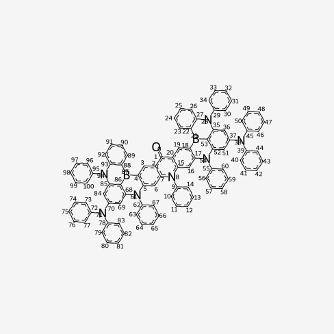 O=c1c2cc3c(cc2n(-c2ccccc2)c2cc4c(cc12)B1c2ccccc2N(c2ccccc2)c2cc(N(c5ccccc5)c5ccccc5)cc(c21)N4c1ccccc1)N(c1ccccc1)c1cc(N(c2ccccc2)c2ccccc2)cc2c1B3c1ccccc1N2c1ccccc1